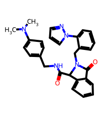 CN(C)c1ccc(CNC(=O)C2c3ccccc3C(=O)N2Cc2ccccc2-n2cccn2)cc1